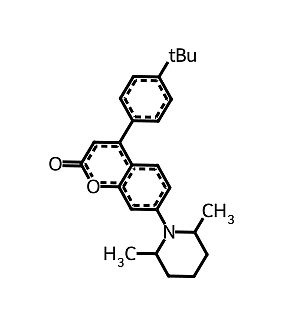 CC1CCCC(C)N1c1ccc2c(-c3ccc(C(C)(C)C)cc3)cc(=O)oc2c1